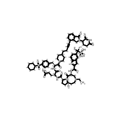 CCN1CC[C@H]2CC[C@@H](C(=O)N[C@@H](CCC(N)=O)C(=O)N[C@@H](Cc3ccc(S(=O)(=O)C4CCCCC4)cc3)C(=O)N3CCC(CCC#Cc4cccc5c4CN(C4CCC(=O)NC4=O)C5=O)CC3)N2C(=O)[C@@H](NC(=O)c2cc3cc(C(F)(F)P(=O)(O)O)ccc3s2)C1